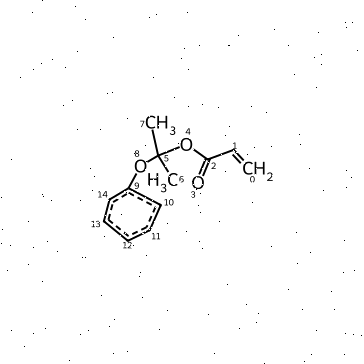 C=CC(=O)OC(C)(C)Oc1ccccc1